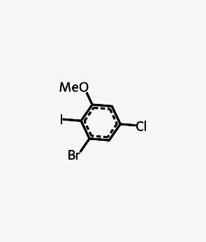 COc1cc(Cl)cc(Br)c1I